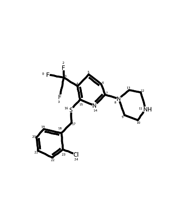 FC(F)(F)c1ccc(N2CCNCC2)nc1SCc1ccccc1Cl